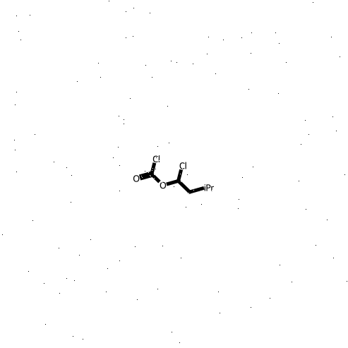 CC(C)CC(Cl)OC(=O)Cl